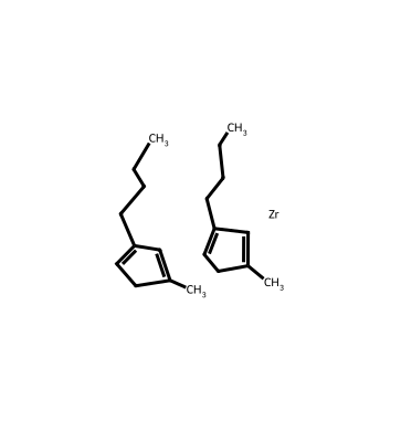 CCCCC1=CCC(C)=C1.CCCCC1=CCC(C)=C1.[Zr]